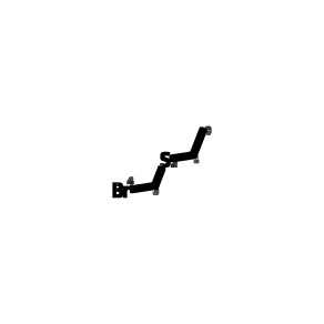 CCSCBr